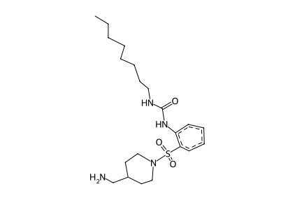 CCCCCCCCNC(=O)Nc1ccccc1S(=O)(=O)N1CCC(CN)CC1